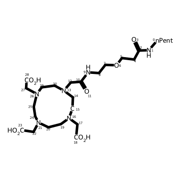 CCCCCNC(=O)CCOCCNC(=O)CN1CCN(CC(=O)O)CCN(CC(=O)O)CCN(CC(=O)O)CC1